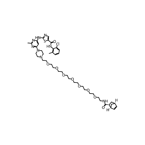 Cc1nc(Nc2ncc(C(=O)Nc3c(C)cccc3Cl)s2)cc(N2CCN(CCOCCOCCOCCOCCOCCOCCOCCNC(=O)[C@H]3C[C@H]4C=C[C@@H]3C4)CC2)n1